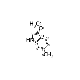 COc1c[nH]c2cc(C)ccc12